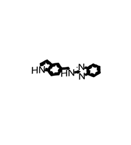 c1ccc2c(c1)[N]C(NCc1ccc3[nH]ccc3c1)=N2